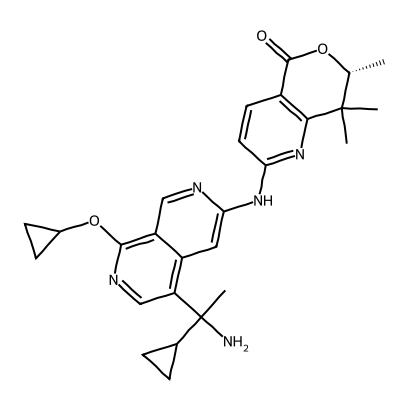 C[C@H]1OC(=O)c2ccc(Nc3cc4c(C(C)(N)C5CC5)cnc(OC5CC5)c4cn3)nc2C1(C)C